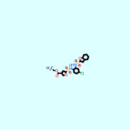 CCOC(=O)c1coc(S(=O)(=O)Nc2ccc(Cl)cc2NS(=O)(=O)c2cc3ccccc3o2)c1